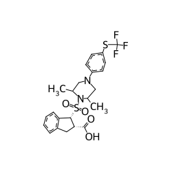 CC1CN(c2ccc(SC(F)(F)F)cc2)CC(C)N1S(=O)(=O)[C@H]1c2ccccc2C[C@H]1C(=O)O